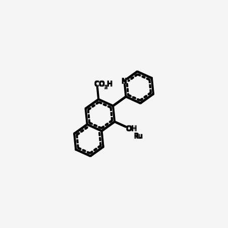 O=C(O)c1cc2ccccc2c(O)c1-c1ccccn1.[Ru]